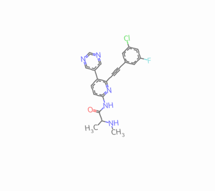 CNC(C)C(=O)Nc1ccc(-c2cncnc2)c(C#Cc2cc(F)cc(Cl)c2)n1